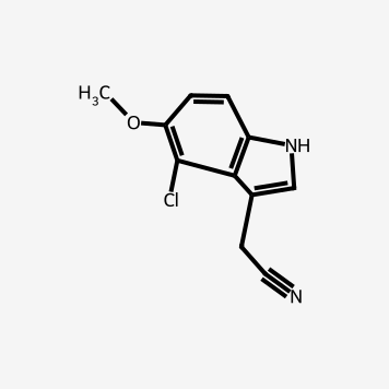 COc1ccc2[nH]cc(CC#N)c2c1Cl